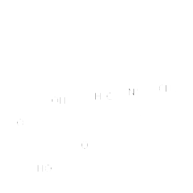 C[N+](C)(Cc1ccccc1)c1ccccc1.O=C(O)C(=O)O